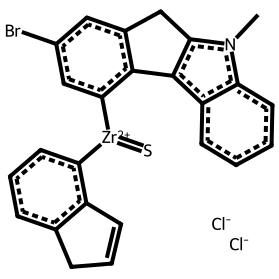 Cn1c2c(c3ccccc31)-c1c(cc(Br)c[c]1[Zr+2](=[S])[c]1cccc3c1C=CC3)C2.[Cl-].[Cl-]